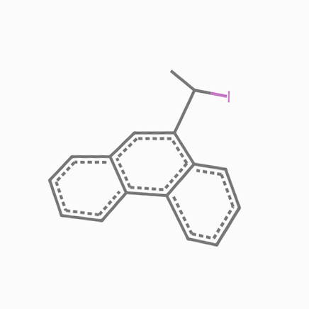 CC(I)c1cc2ccccc2c2ccccc12